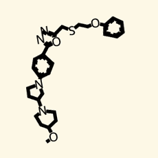 COC1CCN(C2CCN(c3ccc(-c4nnc(CSCCOc5ccccc5)o4)cc3)C2)CC1